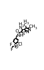 Cc1nnc2sc(C(=O)NCc3ccc([S+]([O-])C(F)F)c(Cl)c3)c(N)c2c1C